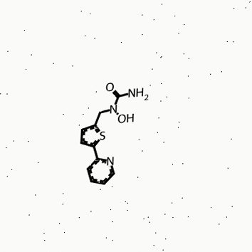 NC(=O)N(O)Cc1ccc(-c2ccccn2)s1